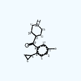 Cc1ccc(C2CC2)c(C(=O)C2CCNCC2)c1